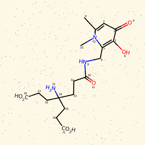 Cc1cc(=O)c(O)c(CNC(=O)CCC(N)(CCC(=O)O)CCC(=O)O)n1C